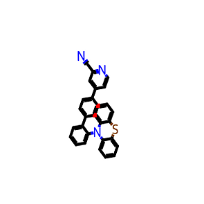 N#Cc1cc(-c2ccc(-c3ccccc3N3c4ccccc4Sc4ccccc43)cc2)ccn1